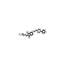 O=C1c2ccc(OCCN3CCN(c4ccccc4)CC3)cc2C(=O)N1CCO[N+](=O)[O-]